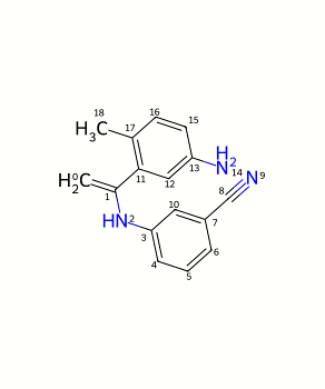 C=C(Nc1cccc(C#N)c1)c1cc(N)ccc1C